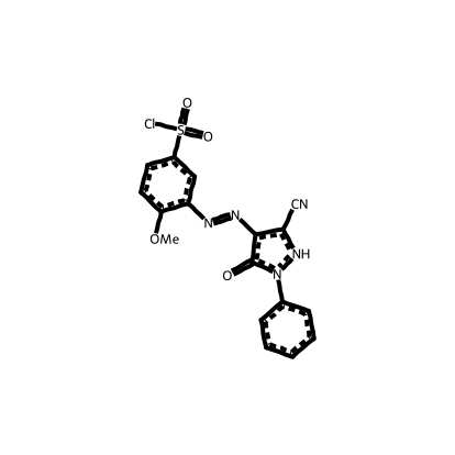 COc1ccc(S(=O)(=O)Cl)cc1N=Nc1c(C#N)[nH]n(-c2ccccc2)c1=O